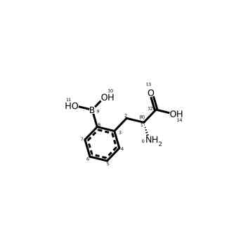 N[C@H](Cc1ccccc1B(O)O)C(=O)O